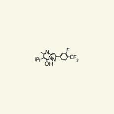 Cc1nc2cc(-c3ccc(C(F)(F)F)c(F)c3)nn2c(O)c1C(C)C